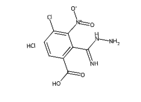 Cl.N=C(NN)c1c(C(=O)O)ccc(Cl)c1[N+](=O)[O-]